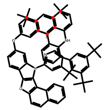 CC(C)(C)c1cc(-c2cccc(-c3cc(C(C)(C)C)cc(C(C)(C)C)c3)c2Nc2ccccc2Nc2cccc(Oc3ccc4c5oc6ccc7ccccc7c6c5n(-c5cc(C(C)(C)C)ccn5)c4c3)c2)cc(C(C)(C)C)c1